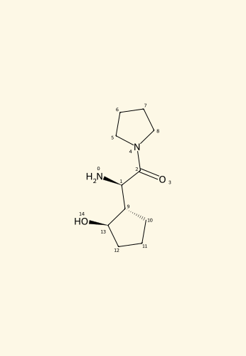 N[C@@H](C(=O)N1CCCC1)[C@@H]1CCC[C@H]1O